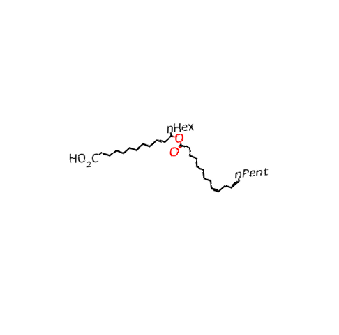 CCCCC/C=C\C/C=C\CCCCCCCC(=O)OC(CCCCCC)CCCCCCCCCCC(=O)O